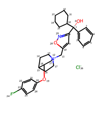 O[C@](c1ccccc1)(c1cc(C[N+]23CCC(CC2)C(Oc2ccc(F)cc2)C3)on1)C1CCCCC1.[Cl-]